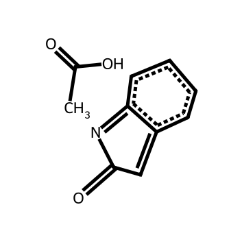 CC(=O)O.O=C1C=c2ccccc2=N1